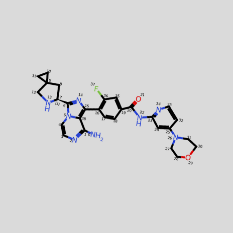 Nc1nccn2c([C@@H]3CC4(CC4)CN3)nc(-c3ccc(C(=O)Nc4cc(N5CCOCC5)ccn4)cc3F)c12